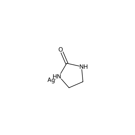 O=C1NCCN1.[Ag]